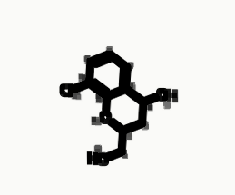 OCC1CC(O)c2cccc(Cl)c2O1